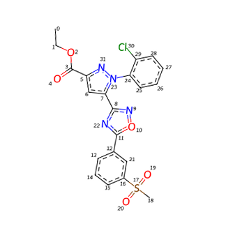 CCOC(=O)c1cc(-c2noc(-c3cccc(S(C)(=O)=O)c3)n2)n(-c2ccccc2Cl)n1